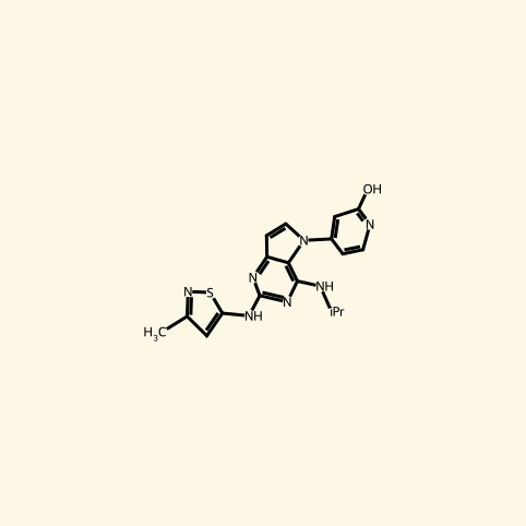 Cc1cc(Nc2nc(NC(C)C)c3c(ccn3-c3ccnc(O)c3)n2)sn1